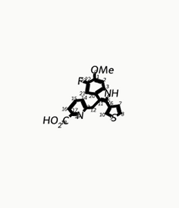 COc1cc2[nH]c(-c3ccsc3)c(Cc3cccc(C(=O)O)n3)c2cc1F